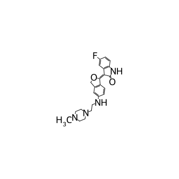 CN1CCN(CCNc2ccc3c(c2)COC3=C2C(=O)Nc3ccc(F)cc32)CC1